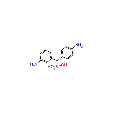 Nc1ccc(Cc2cccc(N)c2)cc1.O=S(=O)(O)O